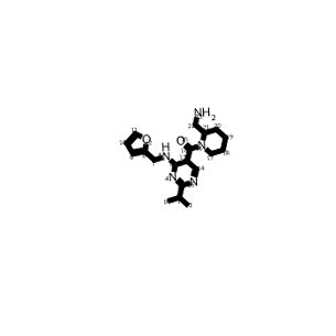 CC(C)C1=NC(NCc2ccco2)C(C(=O)N2CCCCC2CN)C=N1